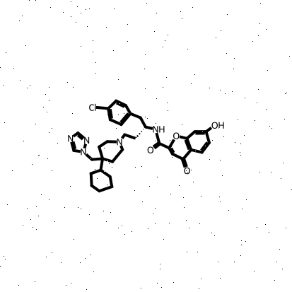 O=C(N[C@H](CCN1CCC(Cn2cncn2)(C2CCCCC2)CC1)Cc1ccc(Cl)cc1)c1cc(=O)c2ccc(O)cc2o1